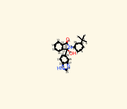 CC(C)(C)c1cccc(N2C(=O)c3ccccc3C2(O)c2ccc3[nH][c]nc3c2)c1